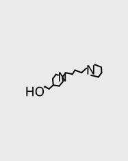 OCCC1CCN(CCCCCN2CCCCC2)CC1